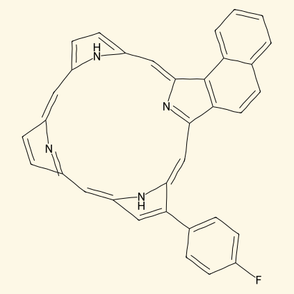 Fc1ccc(-c2cc3cc4nc(cc5ccc(cc6nc(cc2[nH]3)-c2ccc3ccccc3c2-6)[nH]5)C=C4)cc1